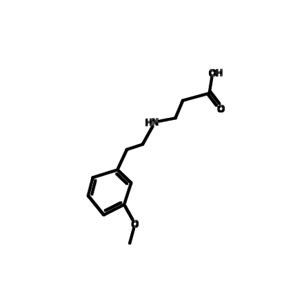 COc1cccc(CCNCCC(=O)O)c1